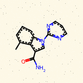 Cc1cccc2c1c(C(N)=O)cn2-c1ncccn1